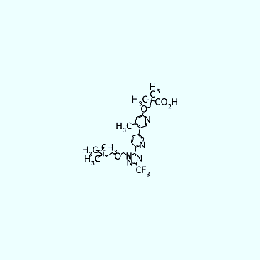 Cc1cc(OCC(C)(C)C(=O)O)ncc1-c1ccc(-c2nc(C(F)(F)F)nn2COCC[Si](C)(C)C)nc1